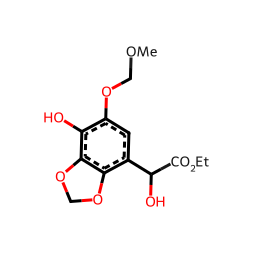 CCOC(=O)C(O)c1cc(OCOC)c(O)c2c1OCO2